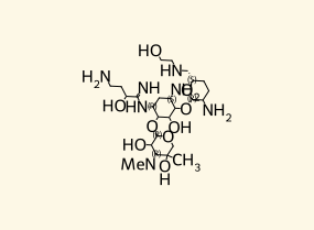 CN[C@@H]1C(O)[C@@H](OC2C(O)C(O[C@H]3O[C@H](CNCCO)CCC3N)[C@@H](N)C[C@H]2NC(=N)C(O)CCN)OCC1(C)O